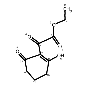 CCOC(=O)C(=O)C1=C(O)CCCC1=O